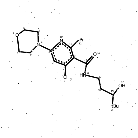 Cc1cc(N2CCOCC2)nc(C(C)C)c1C(=O)NCCC(O)C(C)(C)C